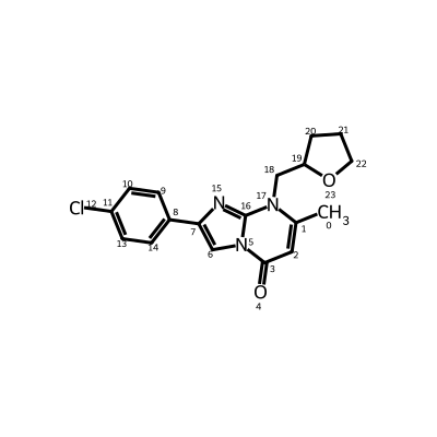 Cc1cc(=O)n2cc(-c3ccc(Cl)cc3)nc2n1CC1CCCO1